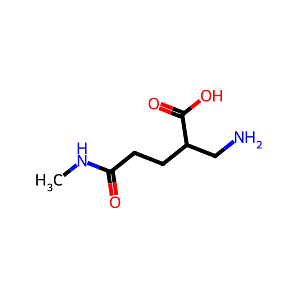 CNC(=O)CCC(CN)C(=O)O